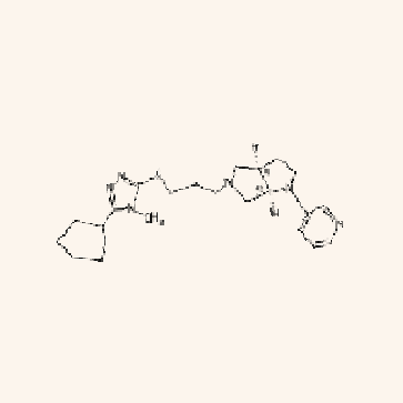 Cn1c(SCCCN2C[C@H]3CCN(c4cccnc4)[C@H]3C2)nnc1C1CCCCC1